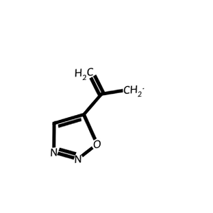 [CH2]C(=C)c1cnno1